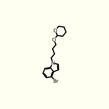 Brc1cccc2c1ccn2CCCCOC1CCCCO1